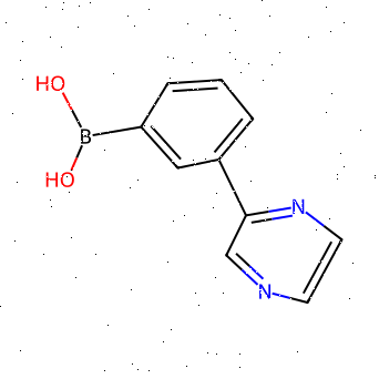 OB(O)c1cccc(-c2cnccn2)c1